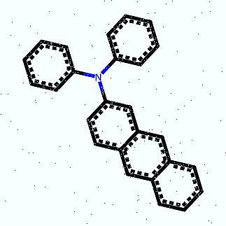 [c]1c2ccccc2cc2cc(N(c3ccccc3)c3ccccc3)ccc12